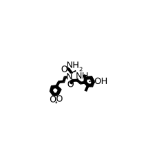 Cc1cc(O)cc(C)c1C[C@H](N)C(=O)N(CCCc1ccc2c(c1)OCO2)[C@H](C)C(N)=O